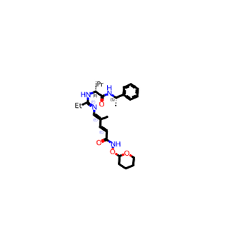 CC\C(=N/C=C(C)/C=C/C(=O)NOC1CCCCO1)N[C@@H](C(=O)N[C@@H](C)c1ccccc1)C(C)C